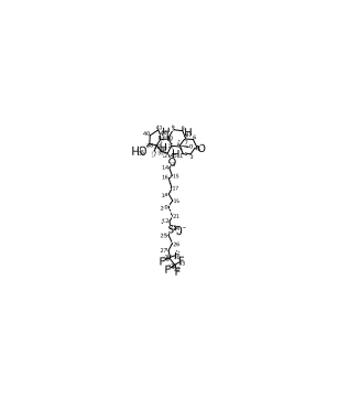 C[C@]12CCC(=O)C[C@@H]1CC[C@@H]1[C@@H]2[C@@H](OCCCCCCCCC[S+]([O-])CCCC(F)(F)C(F)(F)F)C[C@]2(C)[C@@H](O)CC[C@@H]12